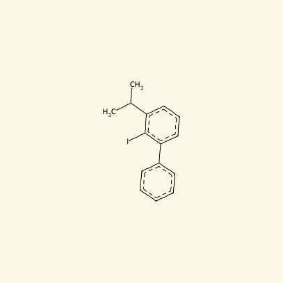 CC(C)c1cccc(-c2ccccc2)c1I